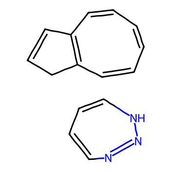 C1=CC=CC2=C(C=C1)C=CC2.C1=CN=NNC=C1